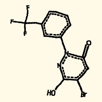 O=c1cc(Br)c(O)nn1-c1cccc(C(F)(F)F)c1